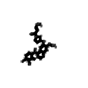 CC=CC(=O)N1CC[C@H](Oc2cc3c(Nc4ccc(F)c(Cl)c4F)ncnc3cc2OC)C1